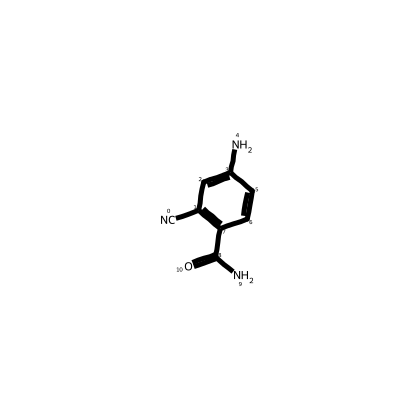 N#Cc1cc(N)ccc1C(N)=O